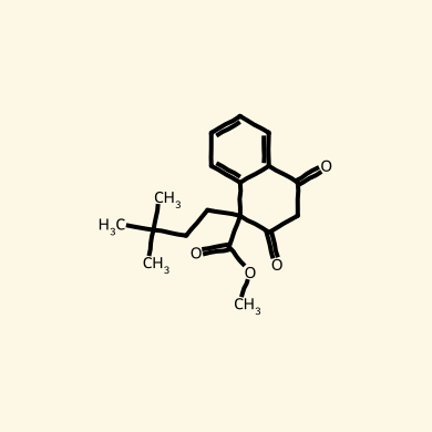 COC(=O)C1(CCC(C)(C)C)C(=O)CC(=O)c2ccccc21